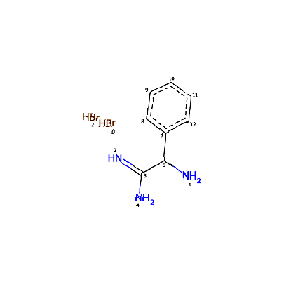 Br.Br.N=C(N)C(N)c1ccccc1